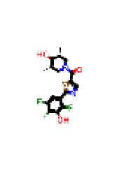 C[C@H]1CN(C(=O)c2cnc(-c3cc(F)c(F)c(O)c3F)s2)C[C@H](C)C1O